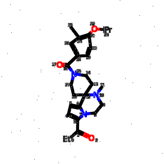 CCC(=O)c1ccc2n1CCN(C)C21CCN(C(=O)c2ccc(OC(C)C)c(C)c2)CC1